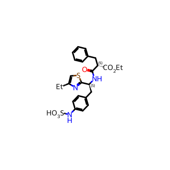 CCOC(=O)[C@@H](Cc1ccccc1)C(=O)N[C@@H](Cc1ccc(NS(=O)(=O)O)cc1)c1nc(CC)cs1